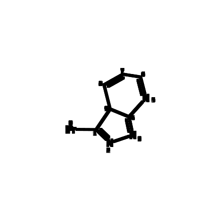 CC(C)C1=NN=C2N=CC=CC21